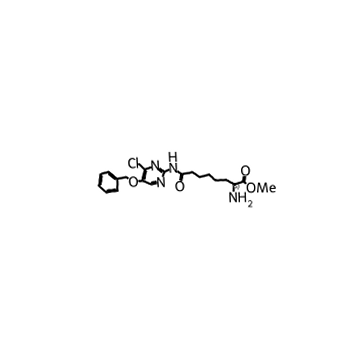 COC(=O)[C@@H](N)CCCCCC(=O)Nc1ncc(OCc2ccccc2)c(Cl)n1